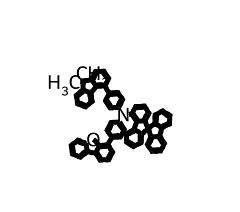 CC1(C)c2ccccc2-c2c(-c3ccc(N(c4ccc(-c5cccc6c5oc5ccccc56)cc4)c4cccc5c4-c4ccccc4C54c5ccccc5-c5ccccc54)cc3)cccc21